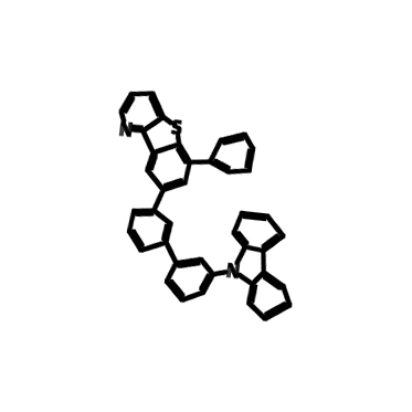 c1ccc(-c2cc(-c3cccc(-c4cccc(-n5c6ccccc6c6ccccc65)c4)c3)cc3c2sc2cccnc23)cc1